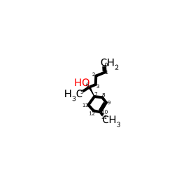 C=CCCC(C)(O)[C@H]1CC=C(C)CC1